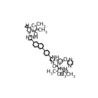 COC(=O)N[C@H](C(=O)N1C[C@@H](Oc2cnccn2)C[C@H]1c1ncc(-c2ccc(-c3ccc4cc(-c5cnc([C@@H]6CC7(CC7)CN6C(=O)[C@@H](C)C(C)C)[nH]5)ccc4c3)cc2)[nH]1)C(C)C